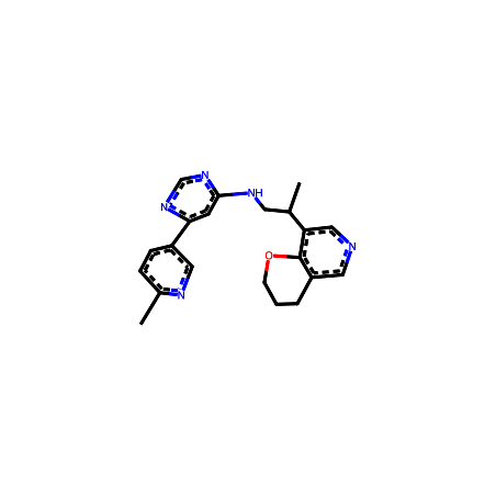 Cc1ccc(-c2cc(NCC(C)c3cncc4c3OCCC4)ncn2)cn1